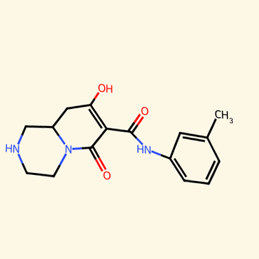 Cc1cccc(NC(=O)C2=C(O)CC3CNCCN3C2=O)c1